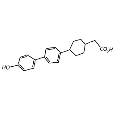 O=C(O)CC1CCC(c2ccc(-c3ccc(O)cc3)cc2)CC1